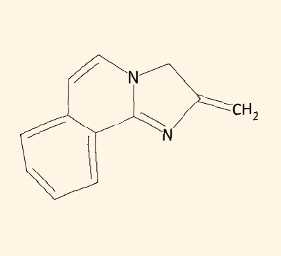 C=C1CN2C=Cc3ccccc3C2=N1